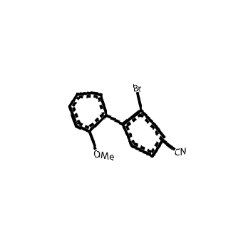 COc1ccccc1-c1ccc(C#N)cc1Br